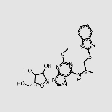 COc1nc(N[C@H](C)CSc2nc3ccccc3s2)c2ncn([C@@H]3O[C@H](CO)C(O)C3O)c2n1